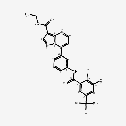 CCOC(=O)c1cnn2c(-c3cccc(NC(=O)c4cc(C(F)(F)F)cc(Cl)c4F)c3)ccnc12